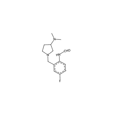 CN(C)C1CCN(Cc2cc(F)[c]cc2NC=O)C1